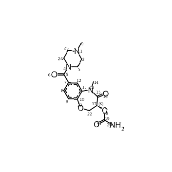 CN1CCN(C(=O)c2ccc3c(c2)N(C)C(=O)[C@@H](OC(N)=O)CO3)CC1